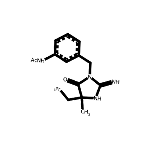 CC(=O)Nc1cccc(CN2C(=N)NC(C)(CC(C)C)C2=O)c1